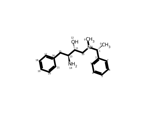 C[C@H](c1ccccc1)N(C)C[C@@H](O)[C@@H](N)Cc1ccccc1